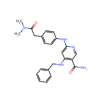 CN(C)C(=O)Cc1ccc(Nc2cc(NCc3ccccc3)c(C(N)=O)cn2)cc1